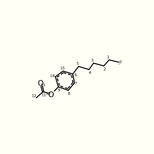 [CH2]CCCCCc1ccc(OC(C)=O)cc1